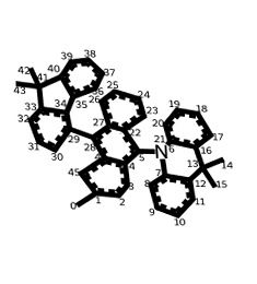 Cc1ccc2c(N3c4ccccc4C(C)(C)c4ccccc43)c3ccccc3c(-c3cccc4c3-c3ccccc3C4(C)C)c2c1